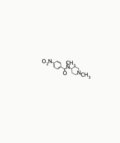 CN1CCC(N(C)C(=O)c2ccc([N+](=O)[O-])cc2)CC1